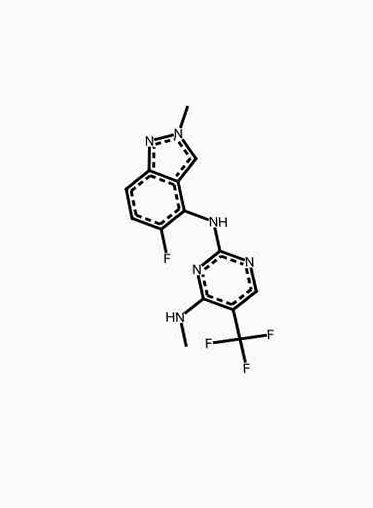 CNc1nc(Nc2c(F)ccc3nn(C)cc23)ncc1C(F)(F)F